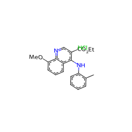 CCOC(=O)c1cnc2c(OC)cccc2c1Nc1ccccc1C.Cl